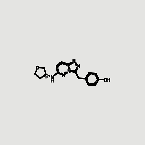 Oc1ccc(Cc2nnc3ccc(N[C@@H]4CCOC4)nn23)cc1